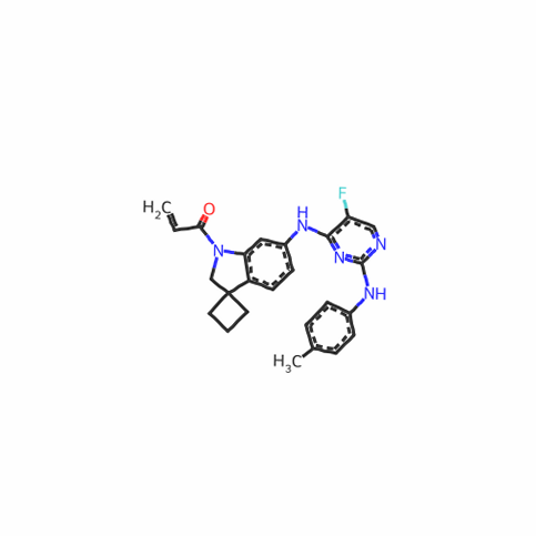 C=CC(=O)N1CC2(CCC2)c2ccc(Nc3nc(Nc4ccc(C)cc4)ncc3F)cc21